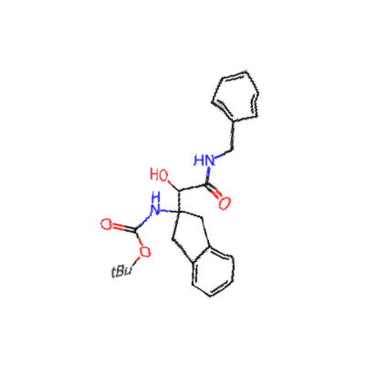 CC(C)(C)OC(=O)NC1(C(O)C(=O)NCc2ccccc2)Cc2ccccc2C1